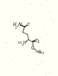 CCCCOC(=O)[C@@H](N)CCC(N)=O